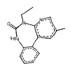 CCN1C(=O)Nc2ccccc2-c2cc(C)cnc21